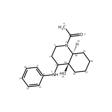 CC(=O)N1CCC(Nc2ccccc2)[C@@]2(O)CCCC[C@H]12